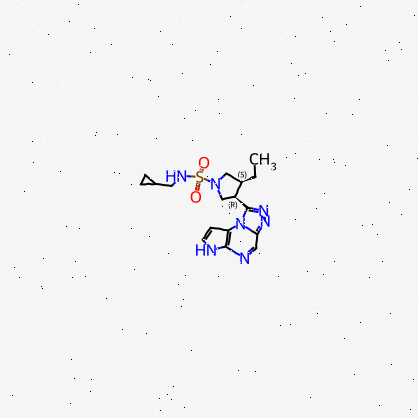 CC[C@@H]1CN(S(=O)(=O)NCC2CC2)C[C@@H]1c1nnc2cnc3[nH]ccc3n12